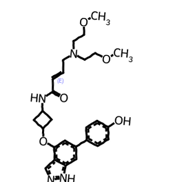 COCCN(C/C=C/C(=O)NC1CC(Oc2cc(-c3ccc(O)cc3)cc3[nH]ncc23)C1)CCOC